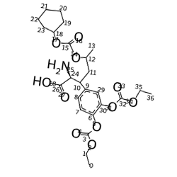 CCOC(=O)Oc1ccc(C(CC(C)OC(=O)OC2CCCCC2)[C@H](N)C(=O)O)cc1OC(=O)OCC